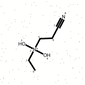 CC[N+](O)(O)CCC#N